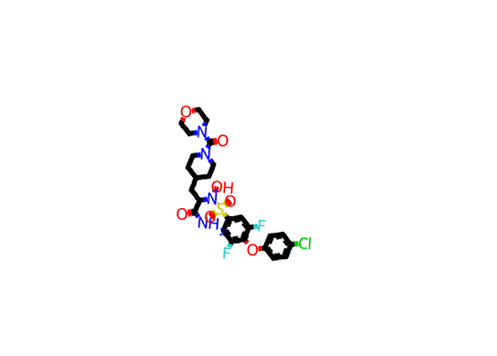 NC(=O)C(CC1CCN(C(=O)N2CCOCC2)CC1)N(O)S(=O)(=O)c1cc(F)c(Oc2ccc(Cl)cc2)c(F)c1